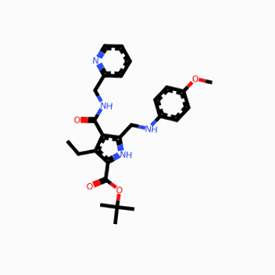 CCc1c(C(=O)OC(C)(C)C)[nH]c(CNc2ccc(OC)cc2)c1C(=O)NCc1ccccn1